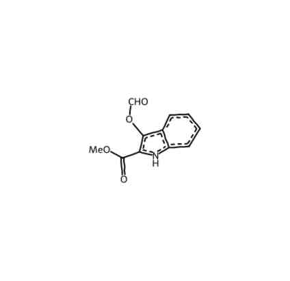 COC(=O)c1[nH]c2ccccc2c1OC=O